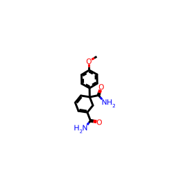 COc1ccc(C2(C(N)=O)C=CC=C(C(N)=O)C2)cc1